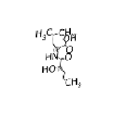 CCC[C@H](O)C(=O)N[C@@H](CC(C)C)C(=O)O